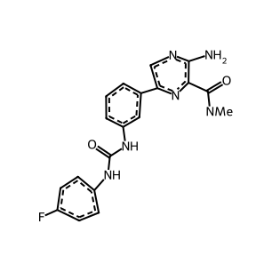 CNC(=O)c1nc(-c2cccc(NC(=O)Nc3ccc(F)cc3)c2)cnc1N